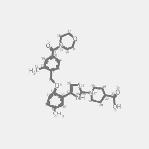 Cc1ccc(OCc2ccc(C(=O)N3CCOCC3)cc2C)c(C2=CSC(N3CCC(C(=O)O)CC3)N2)c1